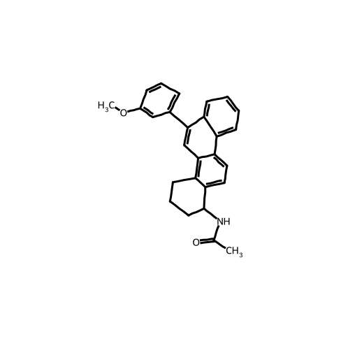 COc1cccc(-c2cc3c4c(ccc3c3ccccc23)C(NC(C)=O)CCC4)c1